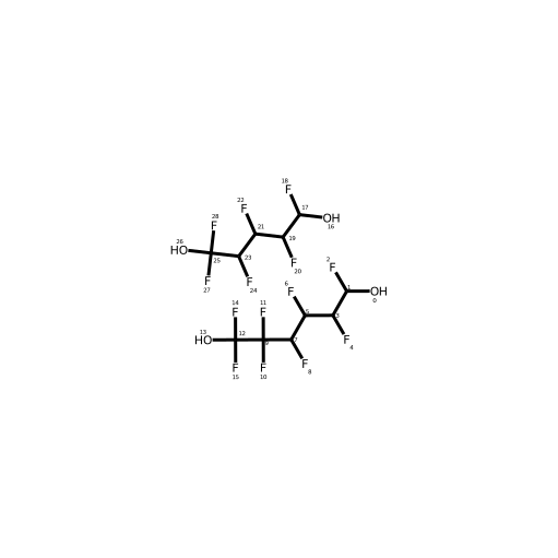 OC(F)C(F)C(F)C(F)C(F)(F)C(O)(F)F.OC(F)C(F)C(F)C(F)C(O)(F)F